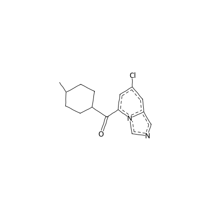 CC1CCC(C(=O)c2cc(Cl)cc3cncn23)CC1